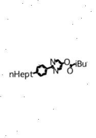 CCCCCCCc1ccc(-c2ncc(OC(=O)C(C)CC)cn2)cc1